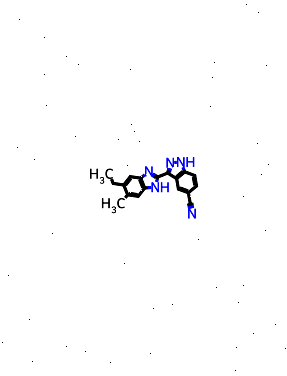 CCc1cc2nc(-c3n[nH]c4ccc(C#N)cc34)[nH]c2cc1C